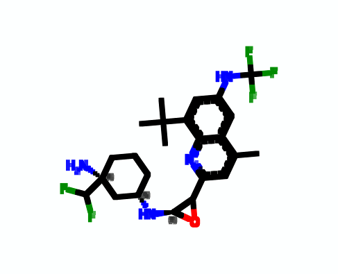 Cc1cc(C2O[C@H]2N[C@H]2CCC[C@](N)(C(F)F)C2)nc2c(C(C)(C)C)cc(NC(F)(F)F)cc12